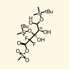 CC(C)(C)[Si](C)(C)OC(O)[C@@H](O)[C@](O)(O[Si](C)(C)C(C)(C)C)C(F)(F)C(=O)OS(C)(=O)=O